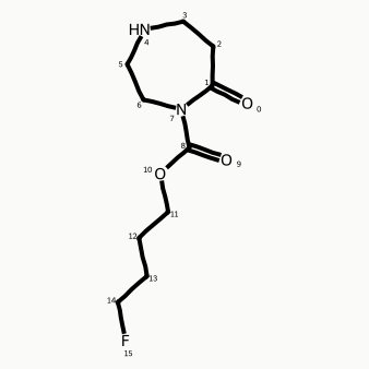 O=C1CCNCCN1C(=O)OCCCCF